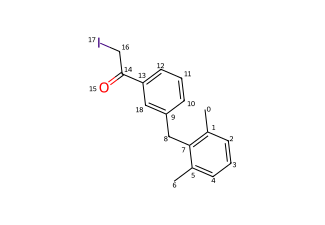 Cc1cccc(C)c1Cc1cccc(C(=O)CI)c1